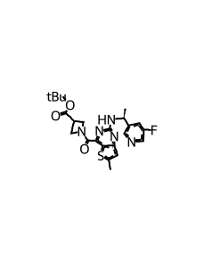 Cc1cc2nc(N[C@@H](C)c3cncc(F)c3)nc(C(=O)N3CC(C(=O)OC(C)(C)C)C3)c2s1